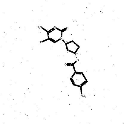 Nc1nc(=O)n([C@H]2CC[C@H](OC(=O)c3ccc([N+](=O)[O-])cc3)C2)cc1F